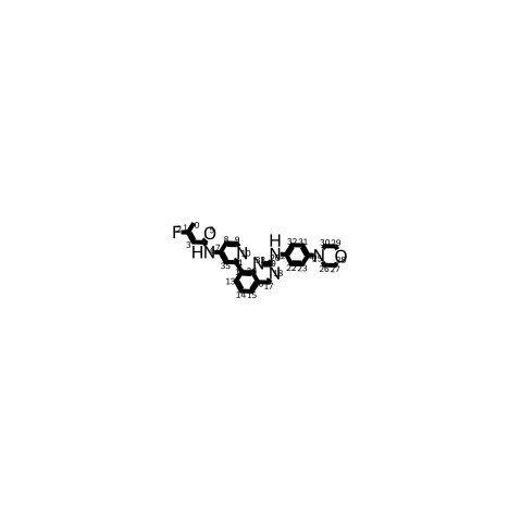 C/C(F)=C\C(=O)Nc1ccnc(-c2cccc3cnc(Nc4ccc(N5CCOCC5)cc4)nc23)c1